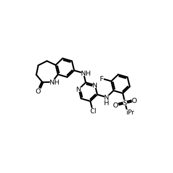 CC(C)S(=O)(=O)c1cccc(F)c1Nc1nc(Nc2ccc3c(c2)NC(=O)CCC3)ncc1Cl